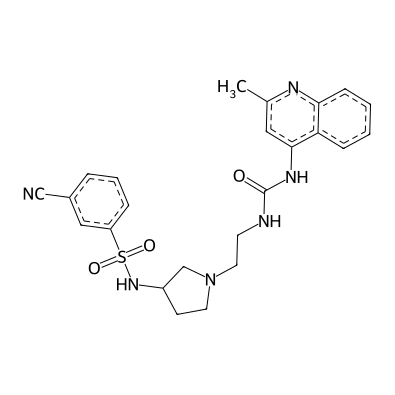 Cc1cc(NC(=O)NCCN2CCC(NS(=O)(=O)c3cccc(C#N)c3)C2)c2ccccc2n1